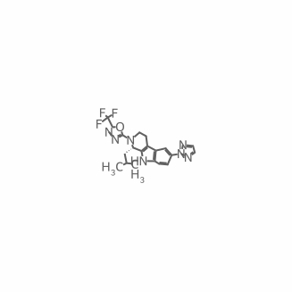 CC(C)C[C@H]1c2[nH]c3ccc(-n4nccn4)cc3c2CCN1c1nnc(C(F)(F)F)o1